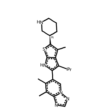 Cc1c(-c2[nH]c3sc([C@@H]4CCCNC4)c(C)c3c2C(C)C)cn2ncnc2c1C